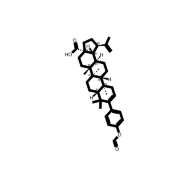 C=C(C)[C@@H]1CC[C@]2(C(=O)O)CC[C@]3(C)[C@H](CC[C@@H]4[C@@]5(C)CC=C(c6ccc(OC=O)cc6)C(C)(C)[C@@H]5CC[C@]43C)[C@@H]12